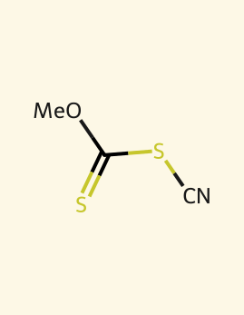 COC(=S)SC#N